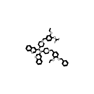 CCOc1cc(CN2CCC(N(c3cnc4ccccc4c3)N(c3cnc4ccccc4c3)C3CCN(Cc4ccc(OC(F)F)c(OCC)c4)CC3)CC2)ccc1OCc1ccccc1